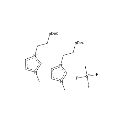 CCCCCCCCCCCC[n+]1ccn(C)c1.CCCCCCCCCCCC[n+]1ccn(C)c1.C[S-2](F)(F)F